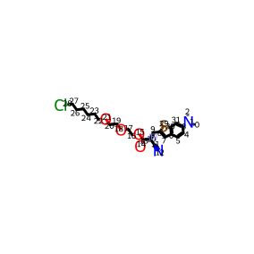 CN(C)c1ccc2cc(/C=C(\C#N)C(=O)OCCOCCOCCCCCCCl)sc2c1